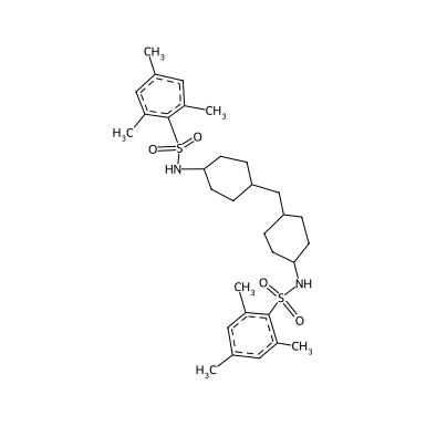 Cc1cc(C)c(S(=O)(=O)NC2CCC(CC3CCC(NS(=O)(=O)c4c(C)cc(C)cc4C)CC3)CC2)c(C)c1